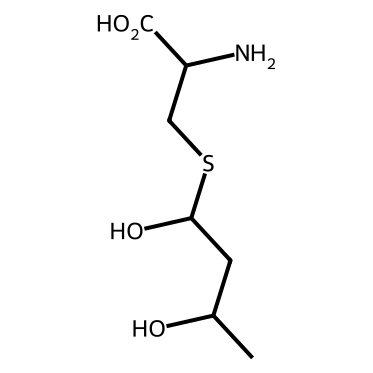 CC(O)CC(O)SCC(N)C(=O)O